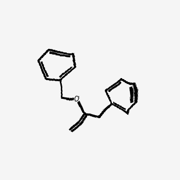 C=C(Cc1ccccc1)OCc1ccccc1